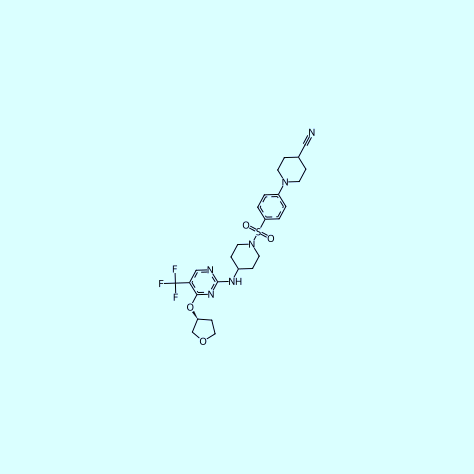 N#CC1CCN(c2ccc(S(=O)(=O)N3CCC(Nc4ncc(C(F)(F)F)c(O[C@H]5CCOC5)n4)CC3)cc2)CC1